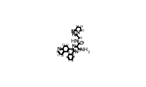 Nc1nc(-c2ccccc2)c(-c2ccc3ncccc3c2)nc1C(=O)NCc1nnc2n1CCC2